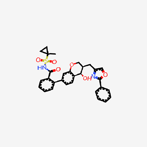 CC1(S(=O)(=O)NC(=O)c2ccccc2-c2ccc3c(c2)OCC(Cc2coc(-c4ccccc4)n2)[C@H]3O)CC1